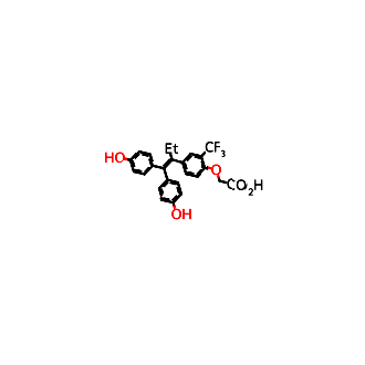 CCC(=C(c1ccc(O)cc1)c1ccc(O)cc1)c1ccc(OCC(=O)O)c(C(F)(F)F)c1